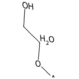 CC(=O)OCCO.O